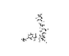 COc1cccc(C(C)NC(=O)c2sc(-c3cccc(CNCCc4ccncc4)c3)nc2C(F)(F)F)c1